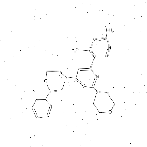 Nc1ncc(-c2cc(N3CCOC(c4ccccc4)C3)nc(N3CCOCC3)n2)c(C(F)(F)F)n1